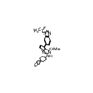 COc1nc(NC2CCC3(CC2)COC3)nn2ccc(-c3ccc4nnn(C[C@H](C)F)c4c3)c12